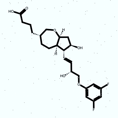 O=C(O)CCC[C@H]1CC[C@@H]2[C@@H](C=C[C@@H](O)COc3cc(F)cc(F)c3)[C@H](O)C[C@@H]2OC1